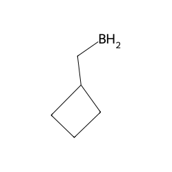 BCC1CCC1